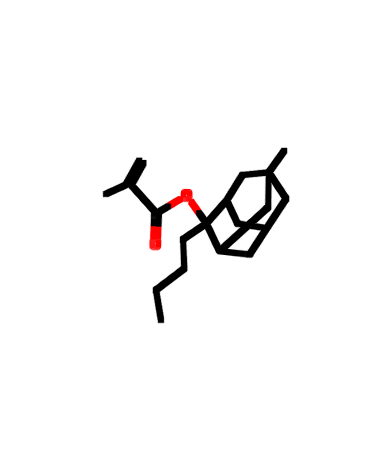 C=C(C)C(=O)OC1(CCCC)C2CC3CC1CC(C)(C3)C2